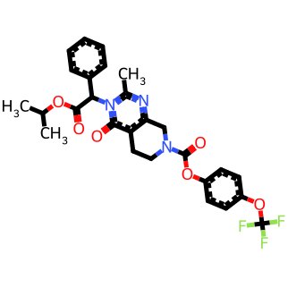 Cc1nc2c(c(=O)n1C(C(=O)OC(C)C)c1ccccc1)CCN(C(=O)Oc1ccc(OC(F)(F)F)cc1)C2